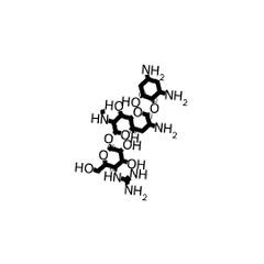 CNC1C(O[C@H]2OC(CO)[C@@H](NC(=N)N)C(O)C2O)O[C@H]2CC(N)[C@@H](O[C@@H]3C(N)CC(N)C[C@H]3O)OC2C1O